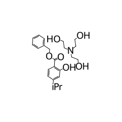 CC(C)c1ccc(C(=O)OCc2ccccc2)c(O)c1.OCCN(CCO)CCO